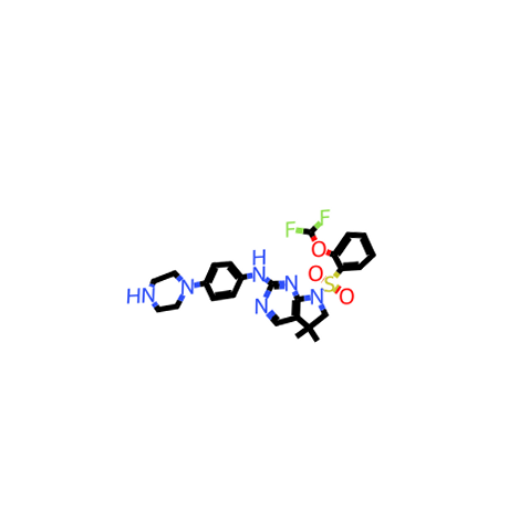 CC1(C)CN(S(=O)(=O)c2ccccc2OC(F)F)c2nc(Nc3ccc(N4CCNCC4)cc3)ncc21